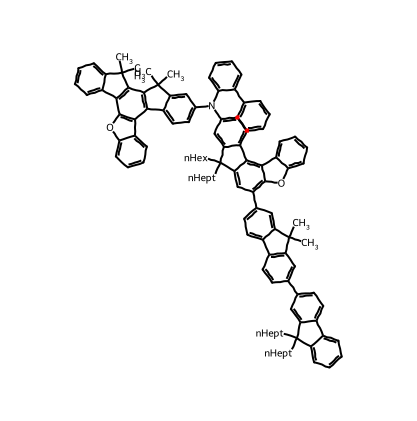 CCCCCCCC1(CCCCCCC)c2ccccc2-c2ccc(-c3ccc4c(c3)C(C)(C)c3cc(-c5cc6c(c7c5oc5ccccc57)-c5ccc(N(c7ccc8c(c7)C(C)(C)c7c9c(c%10oc%11ccccc%11c%10c7-8)-c7ccccc7C9(C)C)c7ccccc7-c7ccccc7)cc5C6(CCCCCC)CCCCCCC)ccc3-4)cc21